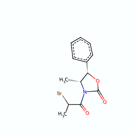 CC(Br)C(=O)N1C(=O)O[C@@H](c2ccccc2)[C@H]1C